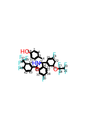 O=C(N[C@@](Cc1ccc(O)cc1)(C1=CC(OC(F)(F)C(F)F)CC(F)=C1)c1ccc(F)cc1)C1=CC(C(F)(F)F)C(F)C=C1